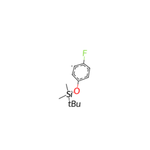 CC(C)(C)[Si](C)(C)Oc1c[c]c(F)cc1